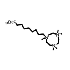 CCCCCCCCCCCCCCCCCC[N+]1(C)CC[N+](C)(C)CC[N+](C)(C)CC1